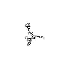 CCCCN1CCN(c2cc(Cl)nc(-n3ccnc3)n2)C(CC(=O)NCCc2ccc3c(c2)OCCO3)C1